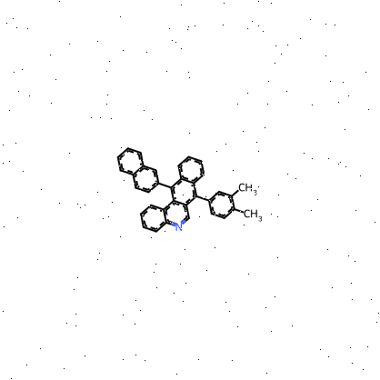 Cc1ccc(-c2c3ccccc3c(-c3ccc4ccccc4c3)c3c2cnc2ccccc23)cc1C